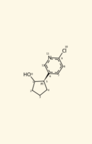 OC1CCC[C@@H]1c1ccc(Cl)nc1